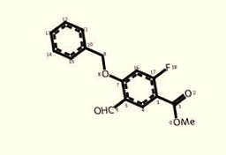 COC(=O)c1cc(C=O)c(OCc2ccccc2)cc1F